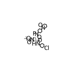 CC(C)(C)OC(=O)N1C[C@H](C(=O)Nc2ccc(Cl)cc2)[C@@H](C(=O)N(F)c2ccc(-n3ccccc3=O)cc2)C1